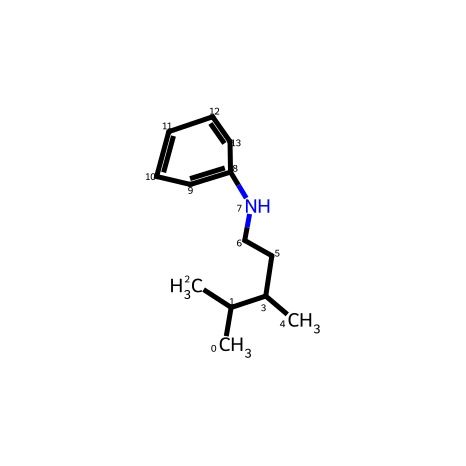 CC(C)C(C)CCNc1ccccc1